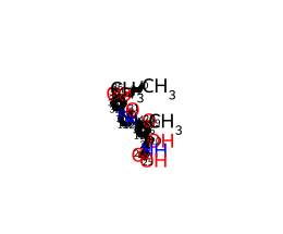 CCCCCOc1cc(N2CCCN(Cc3ccc(C(O)CNC(=O)O)cc3OC)C2=O)ccc1OC